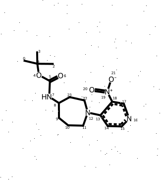 CC(C)(C)OC(=O)NC1CCCN(c2ccncc2[N+](=O)[O-])CC1